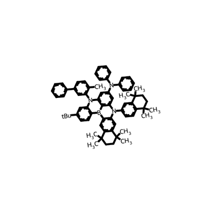 Cc1ccc(-c2ccccc2)cc1N1c2cc(C(C)(C)C)ccc2B2c3cc4c(cc3N(c3ccc5c(c3)C(C)(C)CCC5(C)C)c3cc(N(c5ccccc5)c5ccccc5)cc1c32)C(C)(C)CCC4(C)C